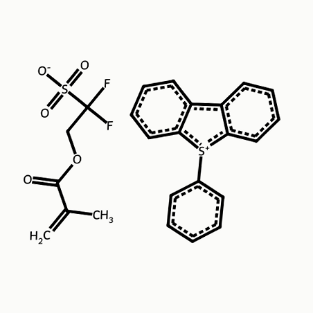 C=C(C)C(=O)OCC(F)(F)S(=O)(=O)[O-].c1ccc(-[s+]2c3ccccc3c3ccccc32)cc1